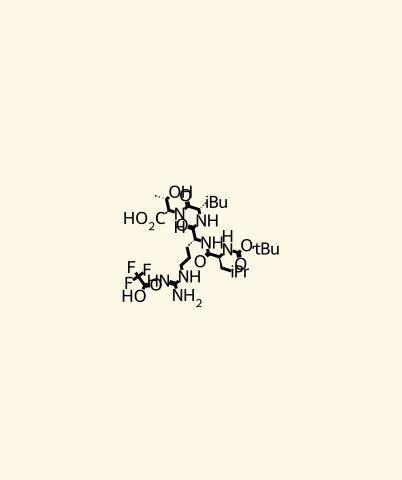 CCC(C)[C@H](NC(=O)[C@@H](CCCNC(=N)N)NC(=O)[C@H](CC(C)C)NC(=O)OC(C)(C)C)C(=O)N[C@H](C(=O)O)[C@H](C)O.O=C(O)C(F)(F)F